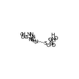 Nc1ncnc2c1c(-c1ccc(Oc3ccccc3)cc1)nn2[C@@H]1CCCN(CCCCCCSc2cccc3c2CN(C2CCC(=O)NC2=O)C3=O)C1